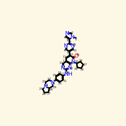 Cn1cncc1-c1ncc(-c2cc3cnc(Nc4ccc(N5CCN6CCCC6C5)cc4)nc3n(C3CCCC3)c2=O)cn1